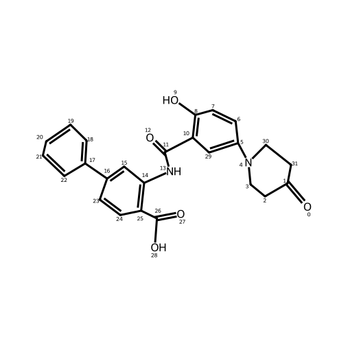 O=C1CCN(c2ccc(O)c(C(=O)Nc3cc(-c4ccccc4)ccc3C(=O)O)c2)CC1